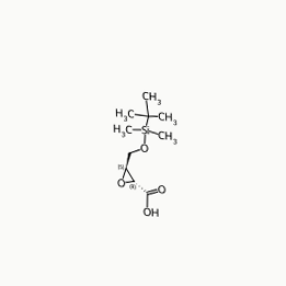 CC(C)(C)[Si](C)(C)OC[C@@H]1O[C@H]1C(=O)O